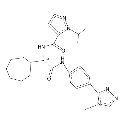 CC(C)n1nccc1C(=O)N[C@H](C(=O)Nc1ccc(-c2nncn2C)cc1)C1CCCCCC1